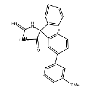 CCCCC(=O)C(NC(C)=N)(c1ccccc1)c1cc(-c2cccc(OC)c2)ccc1F